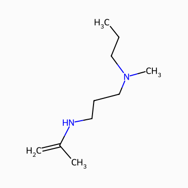 C=C(C)NCCCN(C)CCC